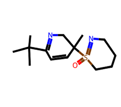 CC(C)(C)C1=NCC(C)(S2(=O)=NCCCC2)C=C1